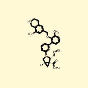 CCOC[C@H]1N(c2cccc(-c3cccc(C)c3OCc3cc(C)c4c(c3)CCNC4)n2)C[C@@H]2C[C@@]21C(=O)OC